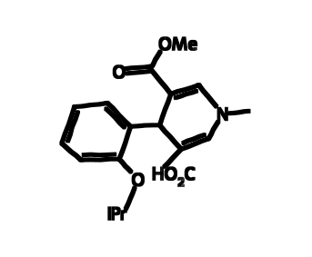 COC(=O)C1=CN(C)C=C(C(=O)O)C1c1ccccc1OC(C)C